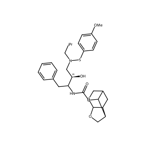 COc1ccc(SN(CC(C)C)C[C@@H](O)C(Cc2ccccc2)NC(=O)OC2C3COC4OCC2C4C3)cc1